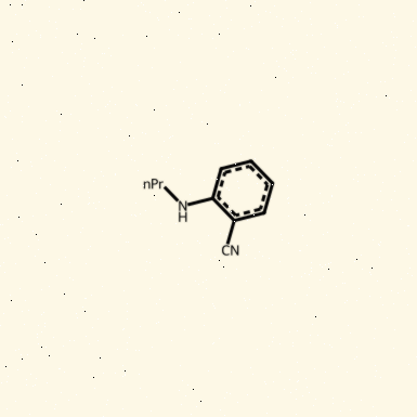 CCCNc1ccccc1C#N